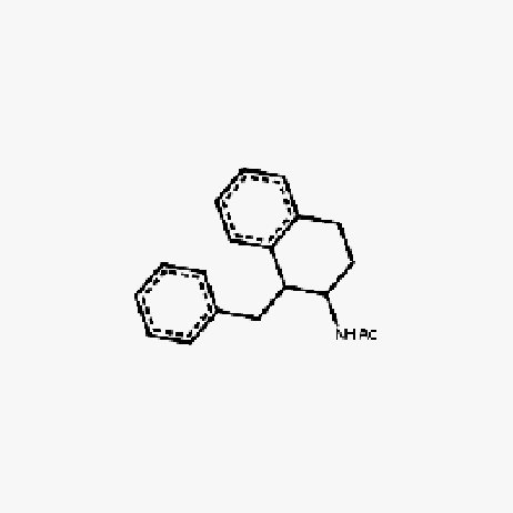 CC(=O)NC1CCc2ccccc2C1Cc1ccccc1